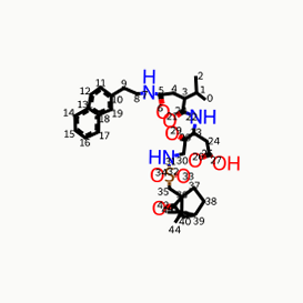 CC(C)C(CC(=O)NCCc1ccc2ccccc2c1)C(=O)NC(CC(=O)O)C(=O)CNS(=O)(=O)CC12CCC(CC1=O)C2(C)C